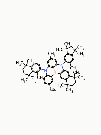 Cc1cc2c3c(c1)N(c1ccc4c(c1C)C(C)(C)CCC4(C)C)c1ccc(C(C)(C)C)cc1B3c1cc3c(cc1N2c1cc2c(cc1C)C(C)(C)CC2(C)C)C(C)(C)CCC3(C)C